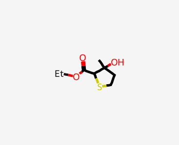 CCOC(=O)C1SCCC1(C)O